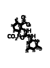 CC1=CC=C(C(=O)O)C(NC(=O)Nc2nc(C)cc(C)n2)C1=S(=O)=O